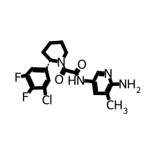 Cc1cc(NC(=O)C(=O)N2CCCC[C@H]2c2cc(F)c(F)c(Cl)c2)cnc1N